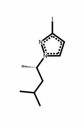 CC(C)C[C@H](C)n1ccc(I)n1